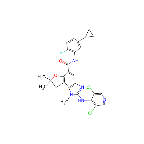 Cn1c(Nc2c(Cl)cncc2Cl)nc2cc(C(=O)Nc3cc(C4CC4)ccc3F)c3c(c21)CC(C)(C)O3